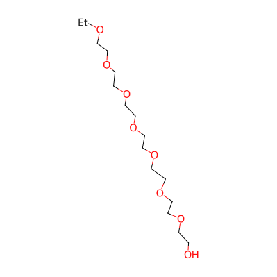 [CH2]COCCOCCOCCOCCOCCOCCOCCO